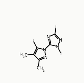 Cc1nn(-c2nc(I)nn2I)c(I)c1C